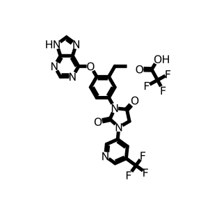 CCc1cc(N2C(=O)CN(c3cncc(C(F)(F)F)c3)C2=O)ccc1Oc1ncnc2[nH]cnc12.O=C(O)C(F)(F)F